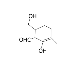 CC1=C(O)C(C=O)C(CO)CC1